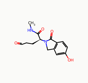 CNC(=O)[C@H](CCC=O)N1Cc2cc(O)ccc2C1=O